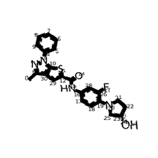 Cc1nn(-c2ccccc2)c2sc(C(=O)Nc3ccc(N4CC[C@@H](O)C4)c(F)c3)cc12